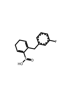 O=S(O)C1=CCCC=C1Cc1cccc(F)c1